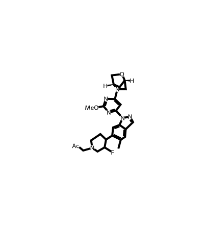 COc1nc(N2C[C@@H]3C[C@H]2CO3)cc(-n2ncc3cc(C)c(C4CCN(CC(C)=O)CC4F)cc32)n1